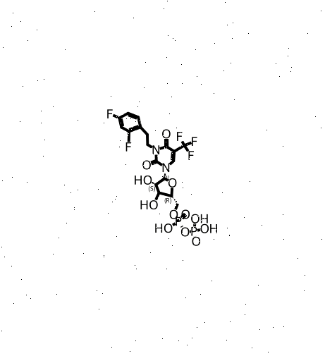 O=c1c(C(F)(F)F)cn([C@@H]2O[C@H](COP(=O)(O)OP(=O)(O)O)C(O)[C@@H]2O)c(=O)n1CCc1ccc(F)cc1F